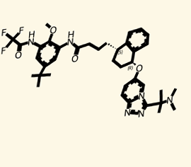 COc1c(NC(=O)CCC[C@H]2CC[C@@H](Oc3ccc4nnc(C(C)(C)N(C)C)n4c3)c3ccccc32)cc(C(C)(C)C)cc1NC(=O)C(F)(F)F